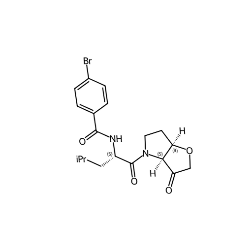 CC(C)C[C@H](NC(=O)c1ccc(Br)cc1)C(=O)N1CC[C@H]2OCC(=O)[C@H]21